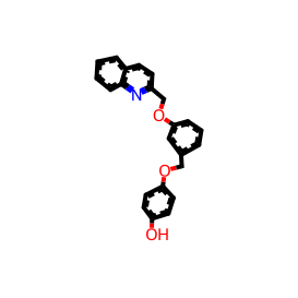 Oc1ccc(OCc2cccc(OCc3ccc4ccccc4n3)c2)cc1